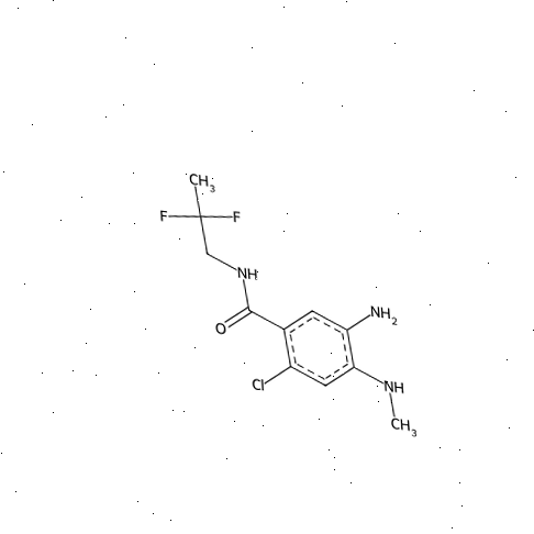 CNc1cc(Cl)c(C(=O)NCC(C)(F)F)cc1N